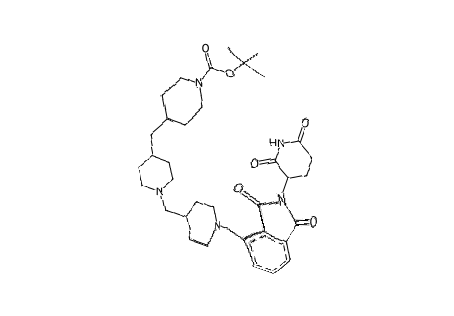 CC(C)(C)OC(=O)N1CCC(CC2CCN(CC3CCN(c4cccc5c4C(=O)N(C4CCC(=O)NC4=O)C5=O)CC3)CC2)CC1